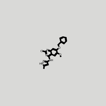 COc1cc2c(Nc3cc(C)[nH]n3)nc(Cl)nc2cc1OCc1ccccc1